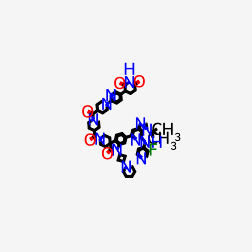 CC(C)n1cnc2cc(-c3ccc4c(c3)N([C@H]3C[C@@H](N5CCCCC5)C3)C(=O)C43CCN(C(=O)C4CCN(C(=O)C5CCN(c6ccc(C7CCC(=O)NC7=O)cn6)CC5)CC4)CC3)nc(Nc3ccncc3F)c21